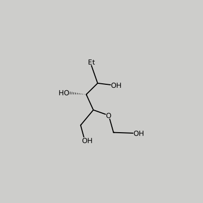 CCC(O)[C@@H](O)C(CO)OCO